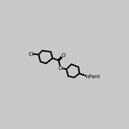 CCCCCC1CCC(OC(=O)C2CCC(Cl)CC2)CC1